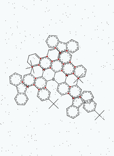 CC(C)(C)c1ccc(C2=CC=CC(C3=CCCC(c4cccc(-c5ccc(C(C)(C)C)cc5)c4)=C3N3c4cc(-n5c6ccccc6c6ccccc65)ccc4B4c5ccc(-n6c7ccccc7c7ccccc76)cc5N(c5c(-c6cccc(-c7ccc(C(C)(C)C)cc7)c6)cccc5-c5cccc(-c6ccc(C(C)(C)C)cc6)c5)c5cc(-n6c7ccccc7c7ccccc76)cc3c54)C2)cc1